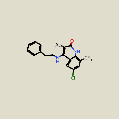 CC(=O)c1c(NCCc2ccccc2)c2cc(Cl)cc(C(F)(F)F)c2[nH]c1=O